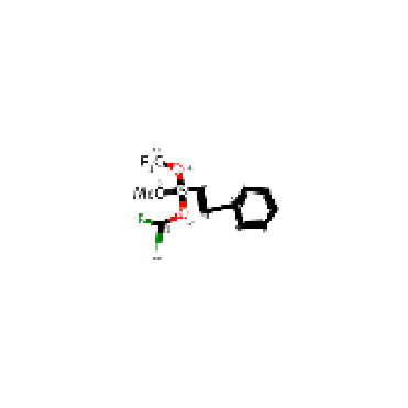 CO[Si](C=Cc1ccccc1)(OC(F)F)OC(F)(F)F